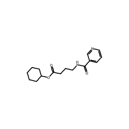 O=C(CCCNC(=O)c1cccnc1)OC1CCCCC1